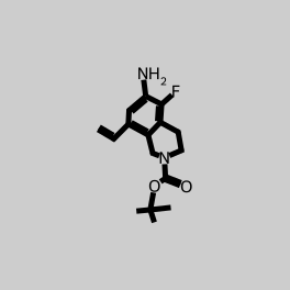 C=Cc1cc(N)c(F)c2c1CN(C(=O)OC(C)(C)C)CC2